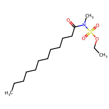 CCCCCCCCCCCC(=O)N(C)S(=O)(=O)OCC